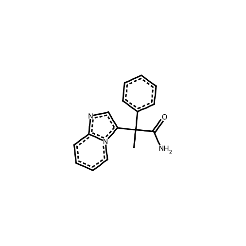 CC(C(N)=O)(c1ccccc1)c1cnc2ccccn12